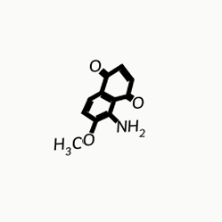 COc1ccc2c(c1N)C(=O)C=CC2=O